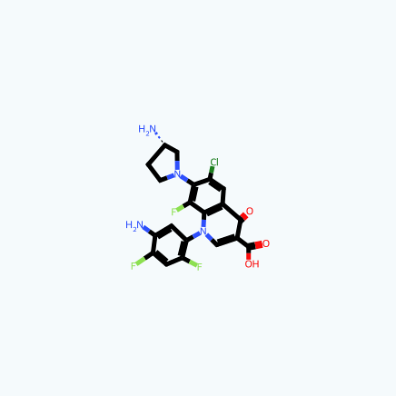 Nc1cc(-n2cc(C(=O)O)c(=O)c3cc(Cl)c(N4CC[C@H](N)C4)c(F)c32)c(F)cc1F